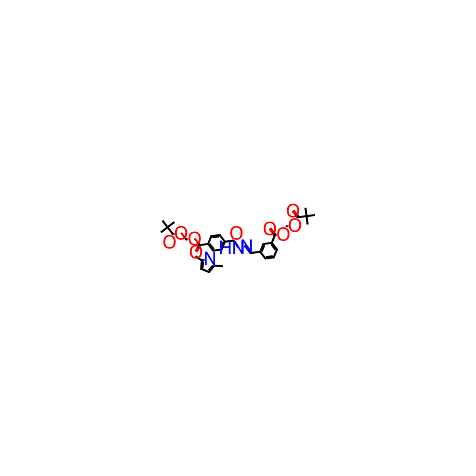 Cc1ccc(C)n1-c1cc(C(=O)N/N=C/c2cccc(C(=O)OCOC(=O)C(C)(C)C)c2)ccc1C(=O)OCOC(=O)C(C)(C)C